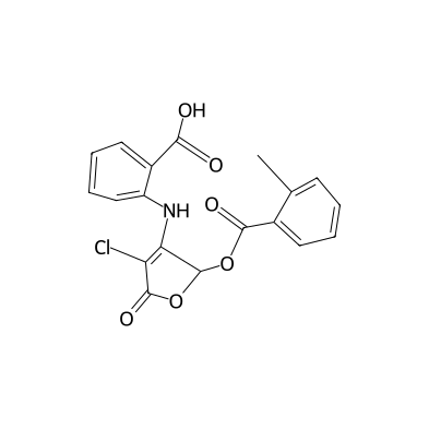 Cc1ccccc1C(=O)OC1OC(=O)C(Cl)=C1Nc1ccccc1C(=O)O